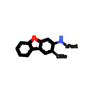 CCCCCNc1cc2oc3ccccc3c2cc1OC